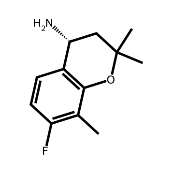 Cc1c(F)ccc2c1OC(C)(C)C[C@H]2N